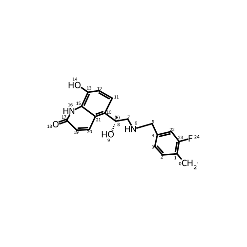 [CH2]c1ccc(CNC[C@H](O)c2ccc(O)c3[nH]c(=O)ccc23)cc1F